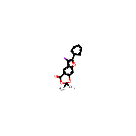 CC1(C)OC(=O)c2cc3c(I)c(-c4ccccc4)oc3cc2O1